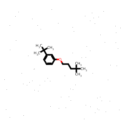 CC(C)(C)CCCOc1cccc(C(C)(C)C)c1